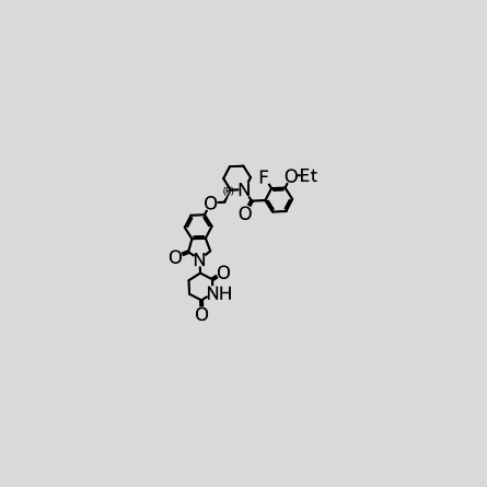 CCOc1cccc(C(=O)N2CCCC[C@@H]2COc2ccc3c(c2)CN(C2CCC(=O)NC2=O)C3=O)c1F